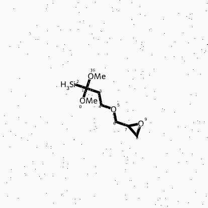 COC([SiH3])(CCOCC1CO1)OC